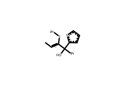 C/C=C(\SC(C)C)C(O)(c1cccs1)C(C)C